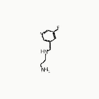 NCCNCc1cncc(F)c1